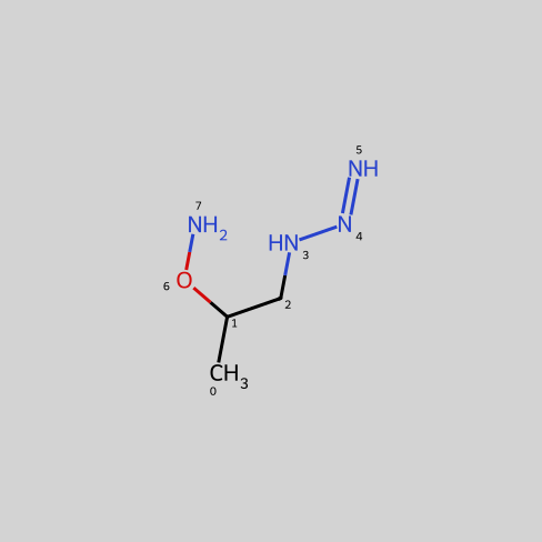 CC(CNN=N)ON